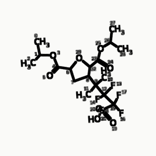 CC(C)OC(=O)C1CC(C(C)(C)C(F)(F)C(F)(F)S(=O)(=O)O)C(C(=O)OC(C)C)O1